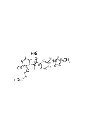 Br.CCCCCCCCCCCCOc1c(Cl)cccc1NC(=O)c1cccc(CN2C=C(C)SC2)c1